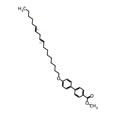 CCCCC/C=C/C/C=C/CCCCCCCCOc1ccc(-c2ccc(C(=O)OC)cc2)cc1